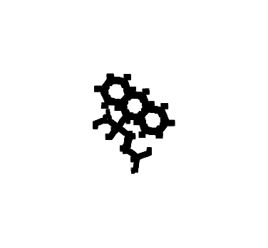 COC(C)(/N=N/C(C)C)c1c2ccccc2cc2ccccc12